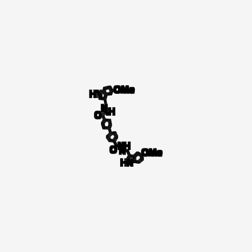 COc1ccc2[nH]cc(/C=N/NC(=O)c3ccc(-c4ccc(C(=O)N/N=C/c5c[nH]c6ccc(OC)cc56)cc4)cc3)c2c1